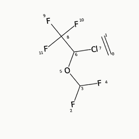 C=C.FC(F)OC(Cl)C(F)(F)F